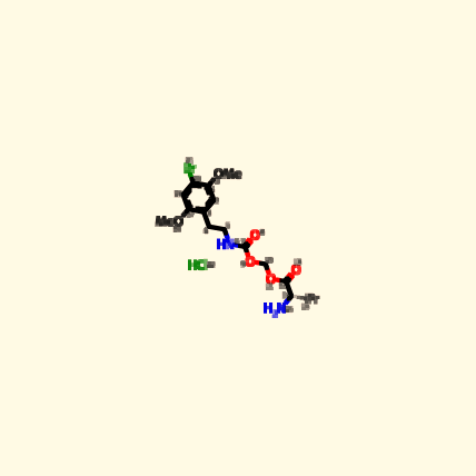 COc1cc(CCNC(=O)OCOC(=O)[C@@H](N)C(C)C)c(OC)cc1Br.Cl